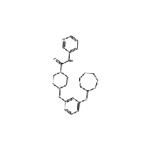 O=C(Nc1cccnc1)N1CCC(=Cc2cccc(OC3CCCCCC3)c2)CC1